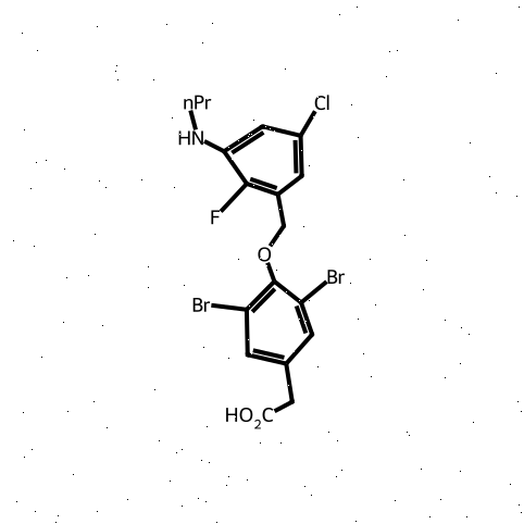 CCCNc1cc(Cl)cc(COc2c(Br)cc(CC(=O)O)cc2Br)c1F